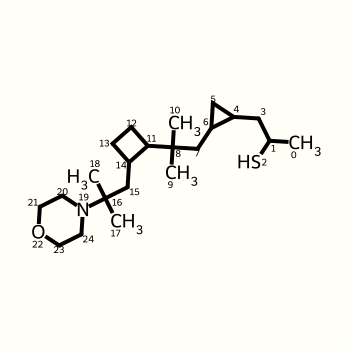 CC(S)CC1CC1CC(C)(C)C1CCC1CC(C)(C)N1CCOCC1